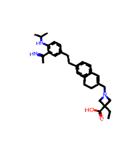 CCC1(C(=O)O)CN(CC2=Cc3ccc(CCc4ccc(NC(C)C)c(C(C)=N)c4)cc3CC2)C1